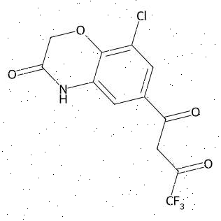 O=C1COc2c(Cl)cc(C(=O)CC(=O)C(F)(F)F)cc2N1